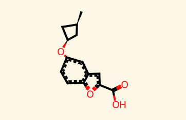 C[C@H]1C[C@@H](Oc2ccc3oc(C(=O)O)cc3c2)C1